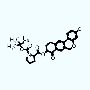 CC(C)(C)OC(=O)N1CCCC1C(=O)OC1CCc2cc3c(cc2C1=O)COc1cc(Cl)ccc1-3